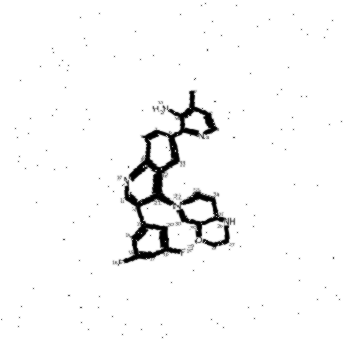 Cc1ccnc(-c2ccc3ncc(-c4cc(F)cc(F)c4)c(N4CCC5NCCOC5C4)c3c2)c1N